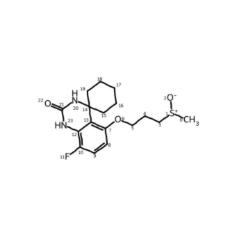 C[S+]([O-])CCCOc1ccc(F)c2c1C1(CCCCC1)NC(=O)N2